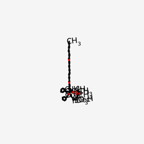 CC#CC#CC#CC#CC#CC#CC#CC#CC#CC#CC#CC#CC(=O)N[C@@H](CO[C@H]1OC(COS(=O)(=O)O)[C@H](C)[C@H](C)C1C)[C@H](OCc1ccccc1)[C@@H](C=CCCCCCCCCCCCC)OCc1ccccc1